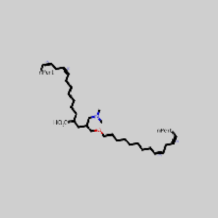 CCCCC/C=C\C/C=C\CCCCCCCCOCC(CC(CCCCCC/C=C\C/C=C\CCCCC)C(=O)O)CN(C)C